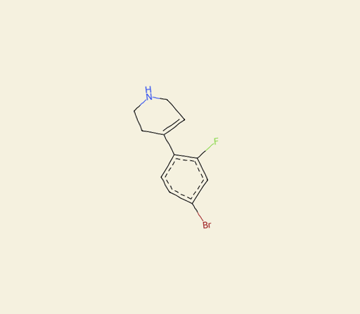 Fc1cc(Br)ccc1C1=CCNCC1